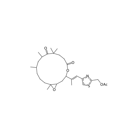 CC(=O)OCc1nc(C=C(C)C2CC3OC3(C)CCCC(C)CC(C)C(=O)C(C)(C)CCC(=O)O2)cs1